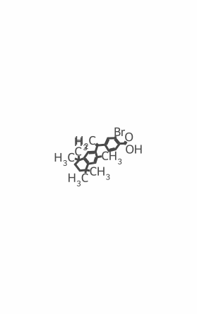 C=C(c1ccc(C(=O)O)c(Br)c1)c1cc2c(cc1C)C(C)(C)CCC2(C)C